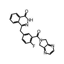 O=C(c1cc(Cc2n[nH]c(=O)c3ccccc23)ccc1F)N1Cc2nccnc2C1